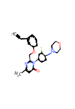 C#Cc1cccc(OCc2nc(C)cc(=O)n2-c2ccc(N3CCOCC3)c(F)c2)c1